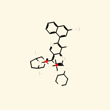 CC(C)(C)OC(=O)N1[C@@H]2CC[C@H]1CN(c1nc(OC3CCSCC3)nc3c(F)c(-c4cc(O)cc5ccccc45)ncc13)C2